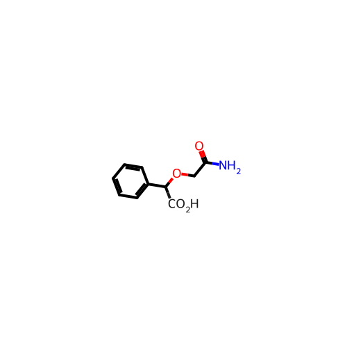 NC(=O)COC(C(=O)O)c1ccccc1